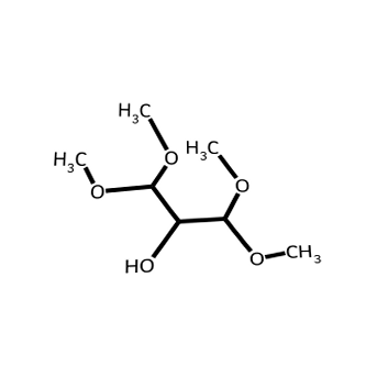 COC(OC)C(O)C(OC)OC